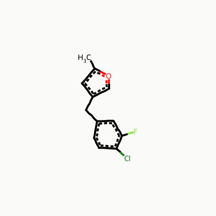 Cc1cc(Cc2ccc(Cl)c(F)c2)co1